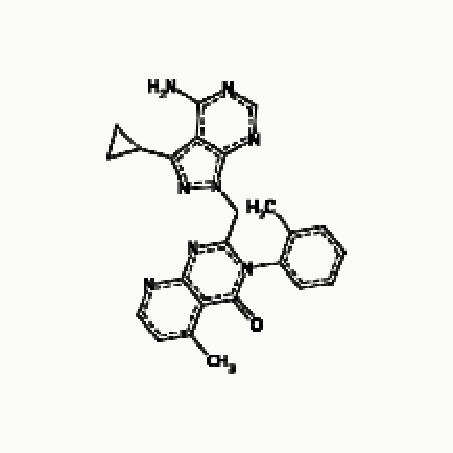 Cc1ccccc1-n1c(Cn2nc(C3CC3)c3c(N)ncnc32)nc2nccc(C)c2c1=O